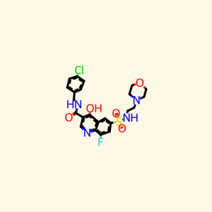 O=C(NCc1ccc(Cl)cc1)c1cnc2c(F)cc(S(=O)(=O)NCCN3CCOCC3)cc2c1O